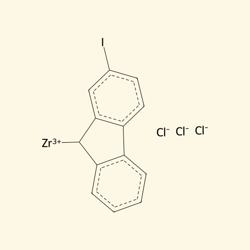 [Cl-].[Cl-].[Cl-].[Zr+3][CH]1c2ccccc2-c2ccc(I)cc21